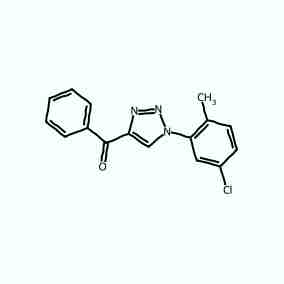 Cc1ccc(Cl)cc1-n1cc(C(=O)c2ccccc2)nn1